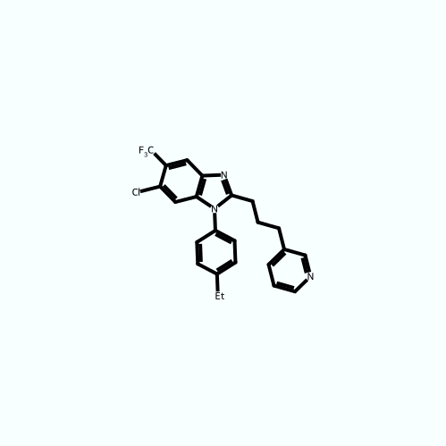 [CH2]Cc1ccc(-n2c(CCCc3cccnc3)nc3cc(C(F)(F)F)c(Cl)cc32)cc1